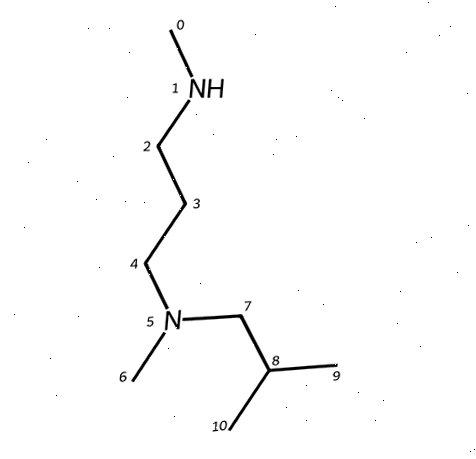 CNCCCN(C)CC(C)C